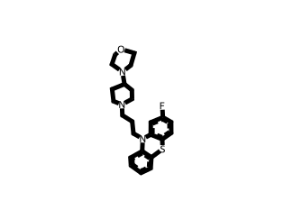 Fc1ccc2c(c1)N(CCCN1CCC(N3CCOCC3)CC1)c1ccccc1S2